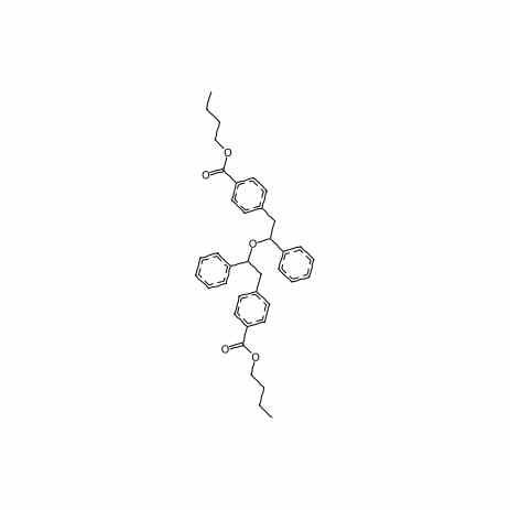 CCCCOC(=O)c1ccc(CC(OC(Cc2ccc(C(=O)OCCCC)cc2)c2ccccc2)c2ccccc2)cc1